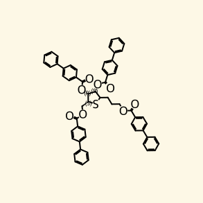 O=C(OCCCC1S[C@@H](COC(=O)c2ccc(-c3ccccc3)cc2)[C@H](OC(=O)c2ccc(-c3ccccc3)cc2)[C@@H]1OC(=O)c1ccc(-c2ccccc2)cc1)c1ccc(-c2ccccc2)cc1